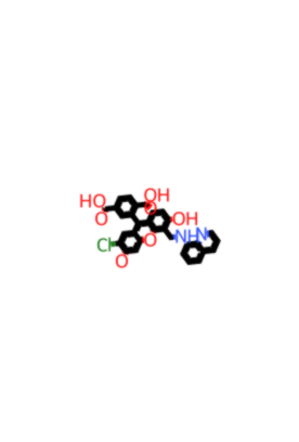 O=C(O)c1ccc(C(=O)O)c(-c2c3cc(Cl)c(=O)cc-3oc3c(CNc4cccc5cccnc45)c(O)ccc23)c1